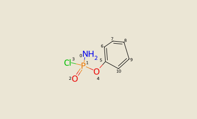 NP(=O)(Cl)Oc1ccccc1